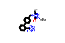 CCCCn1nc(C(C)C)n(Cc2ccc(-c3ccccc3-c3nnn[nH]3)cc2)c1=O